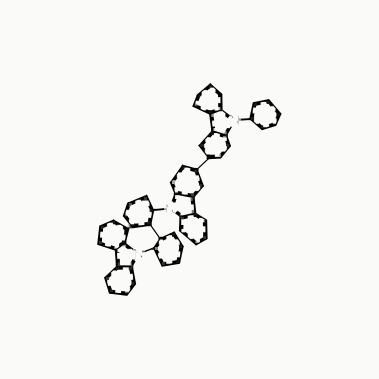 c1ccc(-n2c3ccccc3c3cc(-c4ccc5c(c4)c4ccccc4n5-c4ccccc4-c4ccccc4-n4c5ccccc5c5ccccc54)ccc32)cc1